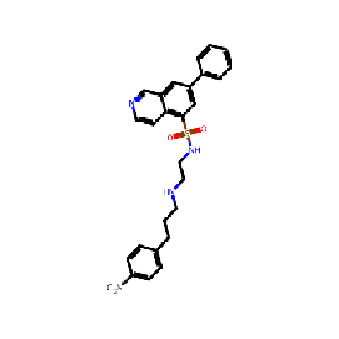 O=[N+]([O-])c1ccc(CCCNCCNS(=O)(=O)c2cc(-c3ccccc3)cc3cnccc23)cc1